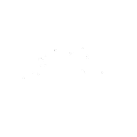 CC(C)C[C@H](NC(=O)[C@@](C)(CCOc1ccc(-c2c(C#N)c(SCc3csc(-c4ccc(Cl)cc4)n3)nc(N3CCCC3)c2C#N)cc1)NC(=O)OC(C)(C)C)C(=O)O